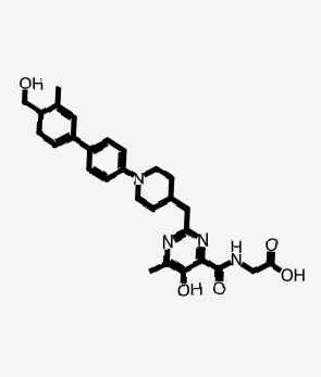 CC1=CC(c2ccc(N3CCC(Cc4nc(C)c(O)c(C(=O)NCC(=O)O)n4)CC3)cc2)=CCC1CO